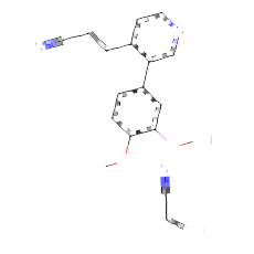 C=CC#N.COc1ccc(-c2cnccc2C=CC#N)cc1OC